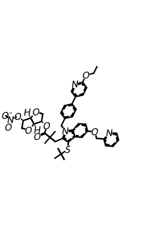 CCOc1ccc(-c2ccc(Cn3c(CC(C)(C)C(=O)O[C@H]4CO[C@H]5[C@@H]4OC[C@H]5O[N+](=O)[O-])c(SC(C)(C)C)c4cc(OCc5ccccn5)ccc43)cc2)cn1